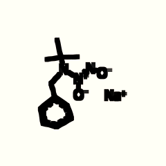 CC(C)(C)N(Cc1ccccc1)[N+]([O-])=N[O-].[Na+]